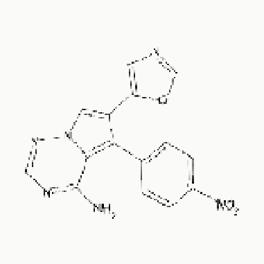 Nc1ncnn2cc(-c3cnco3)c(-c3ccc([N+](=O)[O-])cc3)c12